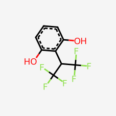 Oc1cccc(O)c1C(C(F)(F)F)C(F)(F)F